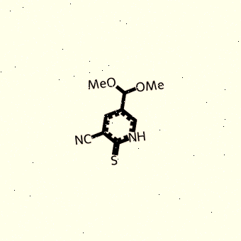 COC(OC)c1c[nH]c(=S)c(C#N)c1